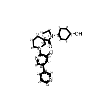 O=C1N([C@H]2CC[C@@H](O)CC2)CC[C@]12CCCN(c1ncc(-c3cccnc3)cc1Cl)C2